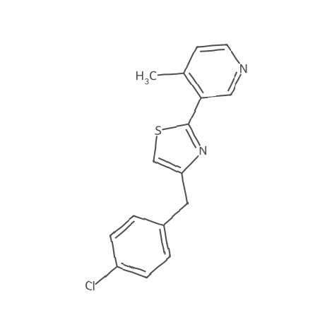 Cc1ccncc1-c1nc(Cc2ccc(Cl)cc2)cs1